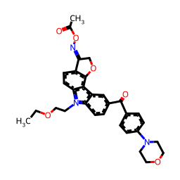 CCOCCn1c2ccc(C(=O)c3ccc(N4CCOCC4)cc3)cc2c2c3c(ccc21)/C(=N/OC(C)=O)CO3